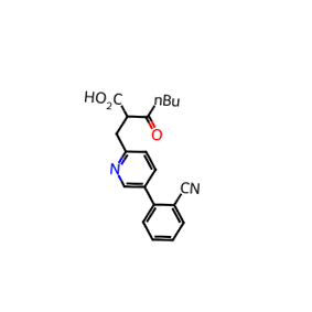 CCCCC(=O)C(Cc1ccc(-c2ccccc2C#N)cn1)C(=O)O